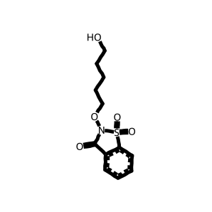 O=C1c2ccccc2S(=O)(=O)N1OCCCCCO